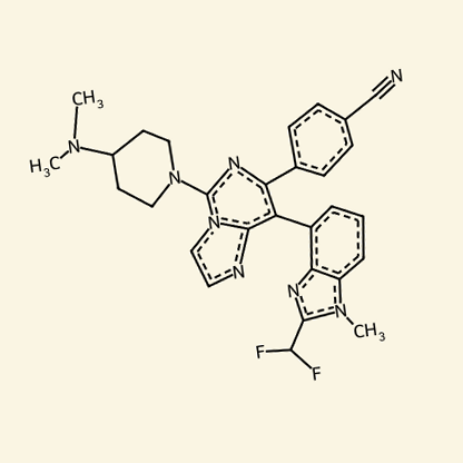 CN(C)C1CCN(c2nc(-c3ccc(C#N)cc3)c(-c3cccc4c3nc(C(F)F)n4C)c3nccn23)CC1